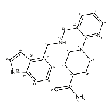 NC(=O)C1CCN(c2ncccc2CNCc2cccc3[nH]ccc23)CC1